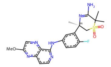 COc1cnc2c(Nc3ccc(F)c([C@]4(C)CS(=O)(=O)C(C)(C)C(N)=N4)c3)nccc2n1